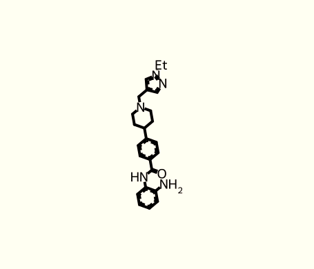 CCn1cc(CN2CCC(c3ccc(C(=O)Nc4ccccc4N)cc3)CC2)cn1